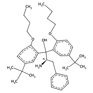 CCCCOc1ccc(C(C)(C)C)cc1C(O)(c1cc(C(C)(C)C)ccc1OCCCC)[C@H](N)Cc1ccccc1